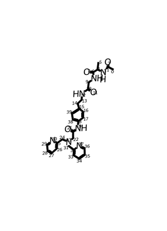 CC(=O)NC(C)C(=O)NCC(=O)NCCc1ccc(NC(=O)CN(Cc2ccccn2)Cc2ccccn2)cc1